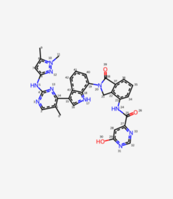 Cc1cnc(Nc2cc(C)n(C)n2)nc1-c1c[nH]c2c(N3Cc4c(NC(=O)c5cc(O)ncn5)cccc4C3=O)cccc12